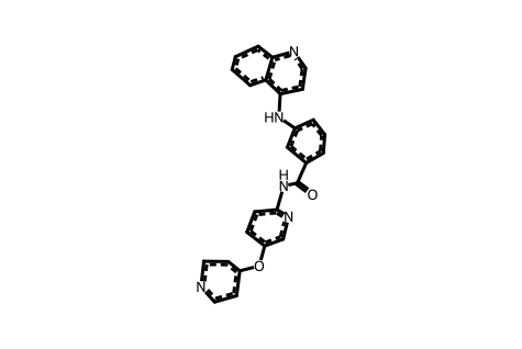 O=C(Nc1ccc(Oc2ccncc2)cn1)c1cccc(Nc2ccnc3ccccc23)c1